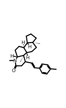 Cc1ccc(C=CC2CC(=O)N(C)[C@@H]3CC[C@H]4[C@@H]5CCC[C@@]5(C)CC[C@@H]4[C@@]23C)cc1